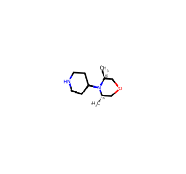 C[C@H]1COC[C@H](C)N1C1CCNCC1